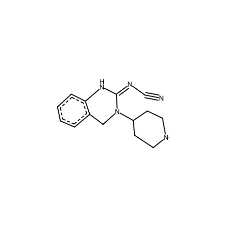 N#CN=C1Nc2ccccc2CN1C1CC[N]CC1